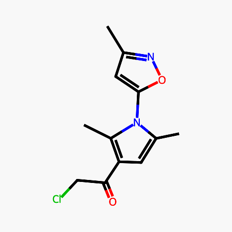 Cc1cc(-n2c(C)cc(C(=O)CCl)c2C)on1